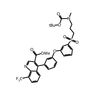 COC(=O)c1cnc2c(C(F)(F)F)cccc2c1-c1cccc(Oc2cccc(S(=O)(=O)CCCN(C)C(=O)OC(C)(C)C)c2)c1